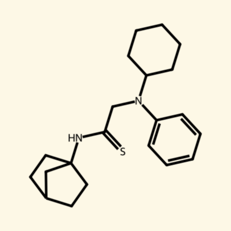 S=C(CN(c1ccccc1)C1CCCCC1)NC12CCC(CC1)C2